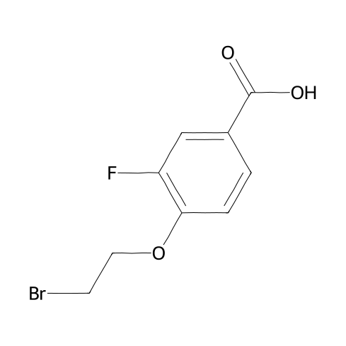 O=C(O)c1ccc(OCCBr)c(F)c1